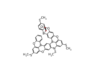 CSc1cc2c3c(c1)Oc1cc4c(cc1B3c1ccccc1O2)B1c2cc3c(cc2N(SC)c2cc(SC)cc(c21)O4)Oc1cc(SC)cc2c1B3c1ccccc1O2